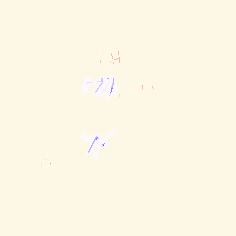 O=C(NO)C(c1ccccc1)N1CCOCC1